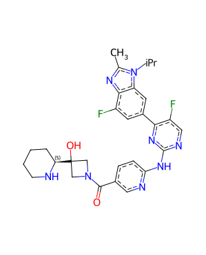 Cc1nc2c(F)cc(-c3nc(Nc4ccc(C(=O)N5CC(O)([C@@H]6CCCCN6)C5)cn4)ncc3F)cc2n1C(C)C